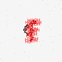 C[C@H](CCC(OC1OC(COC(CO)OC(CO)C(O)CO)C(O)C(O)C1OC1OC(CO)C(O)C(O)C1O)C(C)(C)O)[C@H]1CC[C@@]2(C)C3CC=C4C(CC[C@H](OC5OC(CO)C(OC6OC(CO)C(O)C(O)C6O)C(O)C5O)C4(C)C)[C@]3(C)CC[C@]12C